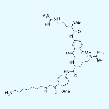 CN[C@H](CCCNC(=N)N)C(=O)Nc1ccc(OC)c(C(=O)CN[C@H](CCCNC(=N)N)C(=O)NC2=CC=C(OC)C(C(=O)CNCCCCCCCN)=C=C2)c1